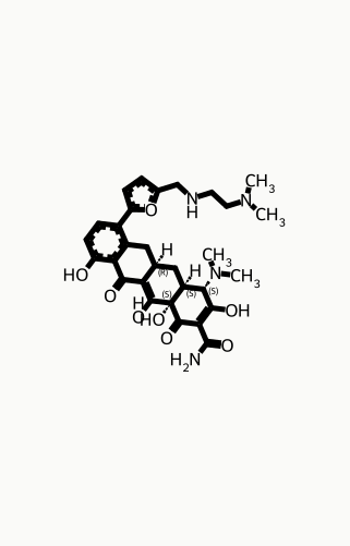 CN(C)CCNCc1ccc(-c2ccc(O)c3c2C[C@H]2C[C@H]4[C@H](N(C)C)C(O)=C(C(N)=O)C(=O)[C@@]4(O)C(O)=C2C3=O)o1